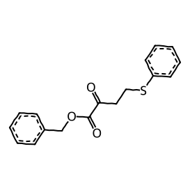 O=C(CCSc1ccccc1)C(=O)OCc1ccccc1